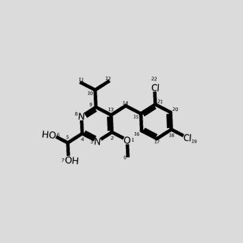 COc1nc(C(O)O)nc(C(C)C)c1Cc1ccc(Cl)cc1Cl